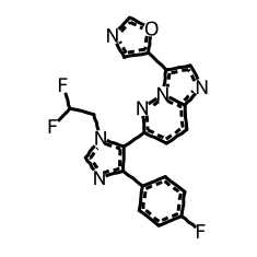 Fc1ccc(-c2ncn(CC(F)F)c2-c2ccc3ncc(-c4cnco4)n3n2)cc1